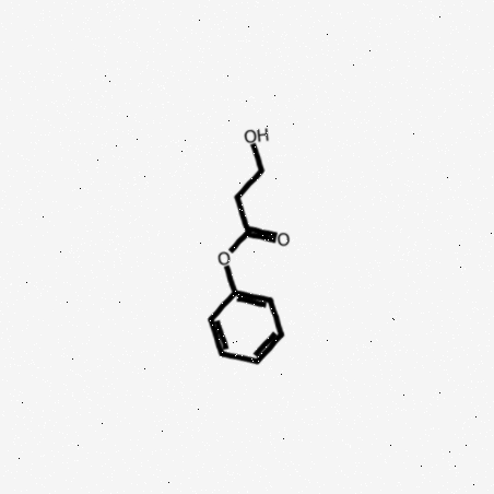 O=C(CCO)Oc1ccccc1